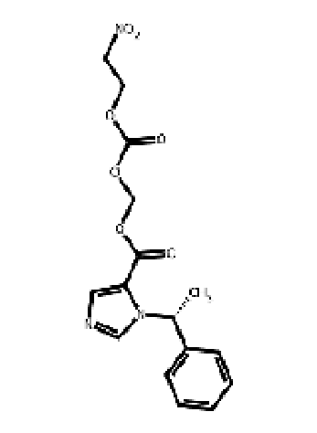 C[C@H](c1ccccc1)n1cncc1C(=O)OCOC(=O)OCC[N+](=O)[O-]